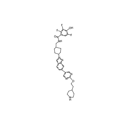 O=C(NCC1CCC(n2cc3ccc(-c4cnc(OCCC5CCNCC5)nc4)cc3n2)CC1)c1cc(F)c(O)c(F)c1F